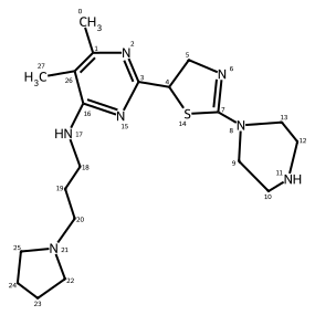 Cc1nc(C2CN=C(N3CCNCC3)S2)nc(NCCCN2CCCC2)c1C